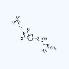 CC(C)NCC(O)COc1ccc2c(c1)C(=O)N(CCCO[N+](=O)[O-])C2=O